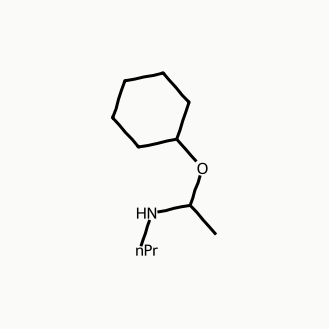 CCCNC(C)OC1CCCCC1